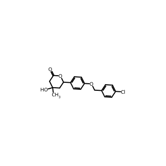 CC1(O)CC(=O)OC(c2ccc(OCc3ccc(Cl)cc3)cc2)C1